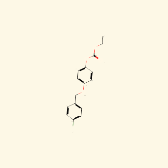 CCOC(=O)Oc1ccc(OCc2ccc(Cl)cc2)cc1